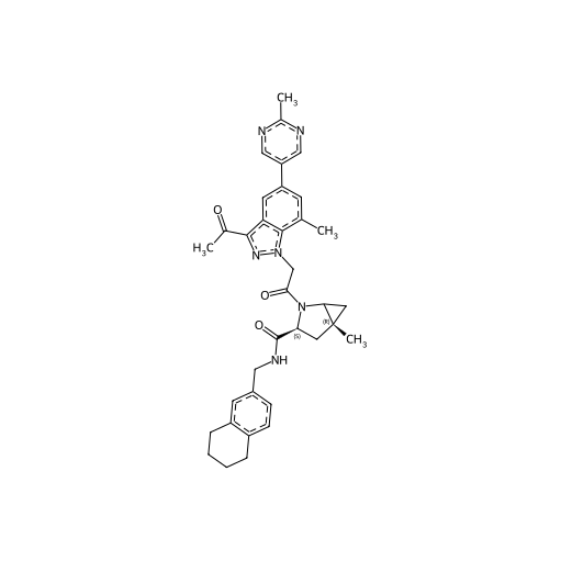 CC(=O)c1nn(CC(=O)N2C3C[C@]3(C)C[C@H]2C(=O)NCc2ccc3c(c2)CCCC3)c2c(C)cc(-c3cnc(C)nc3)cc12